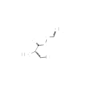 C=COOC(=O)C(C)=CCC